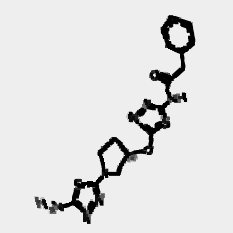 Nc1nnc(N2CC[C@@H](Oc3nnc(NC(=O)Cc4ccccc4)s3)C2)s1